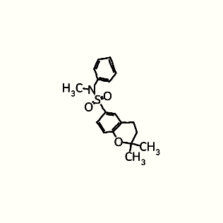 CN(c1ccccc1)S(=O)(=O)c1ccc2c(c1)CCC(C)(C)O2